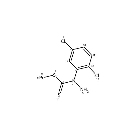 CCCSC(=S)N(N)c1cc(Cl)ccc1Cl